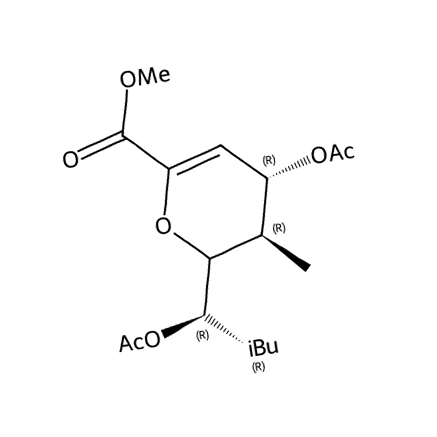 CC[C@@H](C)[C@@H](OC(C)=O)C1OC(C(=O)OC)=C[C@H](OC(C)=O)[C@H]1C